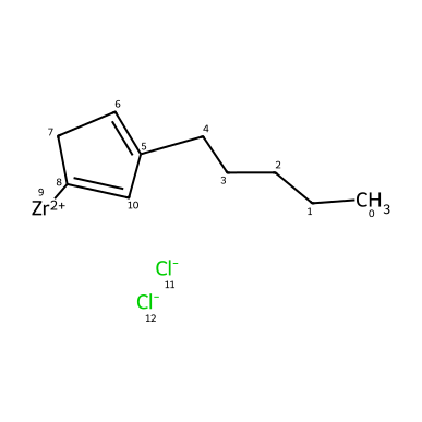 CCCCCC1=CC[C]([Zr+2])=C1.[Cl-].[Cl-]